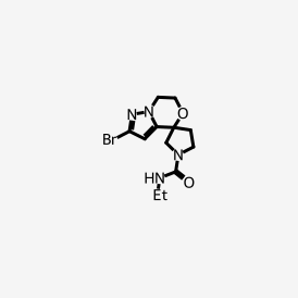 CCNC(=O)N1CCC2(C1)OCCn1nc(Br)cc12